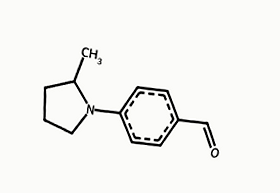 CC1CCCN1c1ccc(C=O)cc1